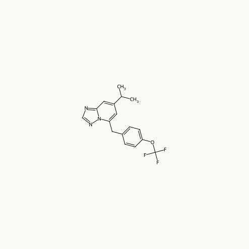 CC(C)c1cc(Cc2ccc(OC(F)(F)F)cc2)n2ncnc2c1